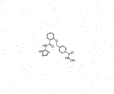 O=C(NO)c1ccc(COc2ccccc2C(=O)Nc2ncn[nH]2)cc1